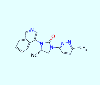 N#C[C@@H]1CN(c2ccc(C(F)(F)F)nn2)C(=O)N1c1cncc2ccccc12